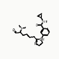 CN(C)C(C=O)CCCCC1=NCC[SH]1c1cccc(C(=O)NC2CC2)c1